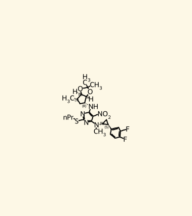 CCCSc1nc(N[C@@H]2C[C@H](C)[C@H]3OC(C)(C)O[C@H]32)c([N+](=O)[O-])c(N(C)[C@@H]2C[C@H]2c2ccc(F)c(F)c2)n1